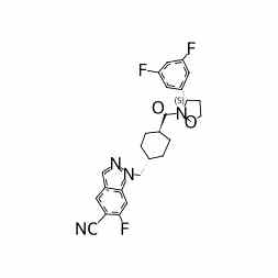 N#Cc1cc2cnn(C[C@H]3CC[C@H](C(=O)N4OCC[C@H]4c4cc(F)cc(F)c4)CC3)c2cc1F